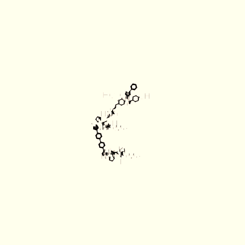 COC(=O)N[C@@H](CCNC(=O)OCCC1CCC(N(C(=O)C2CCC(C)CC2)c2cc(-c3ccccc3)sc2C(=O)O)CC1)C(=O)N1CCC[C@H]1c1ncc(-c2ccc(-c3ccc(-c4cnc([C@@H]5CCCN5C(=O)[C@@H](NC(=O)OC)C(C)C)[nH]4)cc3)cc2)[nH]1